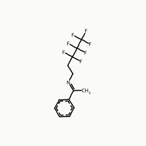 CC(=NCCC(F)(F)C(F)(F)C(F)(F)F)c1ccccc1